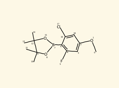 COc1cc(F)c(B2OC(C)(C)C(C)(C)O2)c(Cl)c1